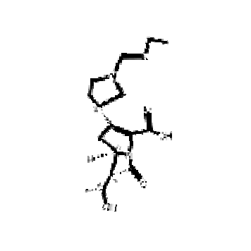 CCN=CN1CC[C@@H](C2=C(C(=O)O)N3C(=O)[C@H]([C@@H](C)O)[C@H]3C2)C1